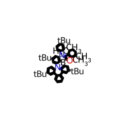 CC(C)(C)c1ccc(N2c3cc(C(C)(C)C)cc4c3B(c3cc(C(C)(C)C)cc5c3N4c3ccc(C(C)(C)C)cc3-c3ccccc3-5)c3oc4c(c32)C(C)(C)CCC4(C)C)cc1